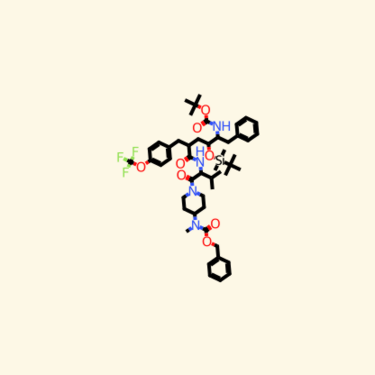 CC(C)C(NC(=O)C(Cc1ccc(OC(F)(F)F)cc1)CC(O[Si](C)(C)C(C)(C)C)C(Cc1ccccc1)NC(=O)OC(C)(C)C)C(=O)N1CCC(N(C)C(=O)OCc2ccccc2)CC1